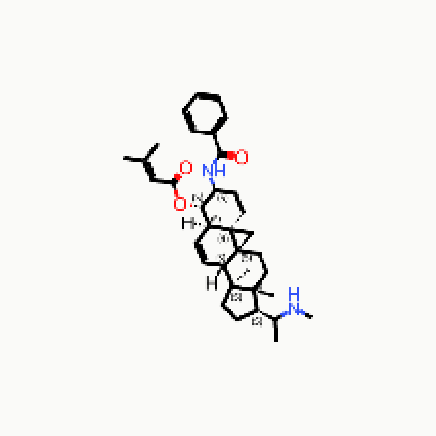 CNC(C)[C@H]1CC[C@@]2(C)[C@@H]3C=C[C@H]4[C@H](OC(=O)C=C(C)C)[C@@H](NC(=O)c5ccccc5)CC[C@@]45C[C@@]35CC[C@]12C